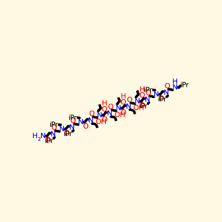 CC(C)CNCC(=O)N(CC(=O)N(CC(=O)N(CC(=O)N(CC(=O)N(CC(=O)N(CC(=O)N(CC(=O)N(CC(=O)N(CC(=O)N(CC(=O)N(CC(=O)N(CC(=O)N(CC(N)=O)CC(C)C)CC(C)C)CC(C)C)CC(C)C)CC(C)O)CC(C)O)CC(C)O)CC(C)O)CC(C)O)CC(C)O)CC(C)C)CC(C)C)CC(C)C